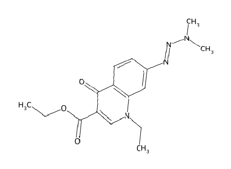 CCOC(=O)c1cn(CC)c2cc(/N=N/N(C)C)ccc2c1=O